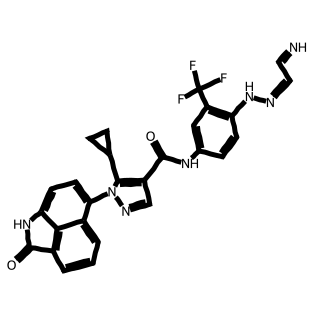 N=C/C=N\Nc1ccc(NC(=O)c2cnn(-c3ccc4c5c(cccc35)C(=O)N4)c2C2CC2)cc1C(F)(F)F